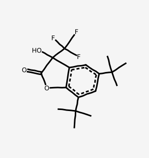 CC(C)(C)c1cc(C(C)(C)C)c2c(c1)C(O)(C(F)(F)F)C(=O)O2